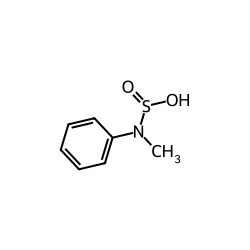 CN(c1ccccc1)S(=O)O